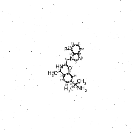 CC(NC(=O)Cn1cnc2cccc(F)c21)c1ccc(C(C)(C)N)cc1